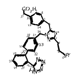 CC(C)CCc1nc(Cc2ccc(CC(=O)O)cc2)n(Cc2ccc(-c3ccccc3-c3nnn[nH]3)cc2)n1